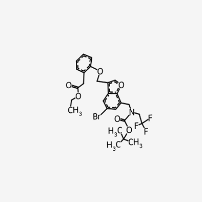 CCOC(=O)Cc1ccccc1OCc1coc2c(CN(CC(F)(F)F)C(=O)OC(C)(C)C)cc(Br)cc12